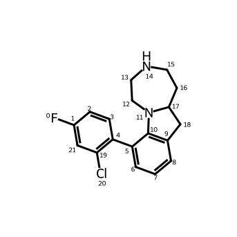 Fc1ccc(-c2cccc3c2N2CCNCCC2C3)c(Cl)c1